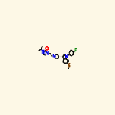 CSc1ccc2c(C3CCN(CCN4CCN(C(C)C)C4=O)CC3)cn(-c3ccc(F)cc3)c2c1